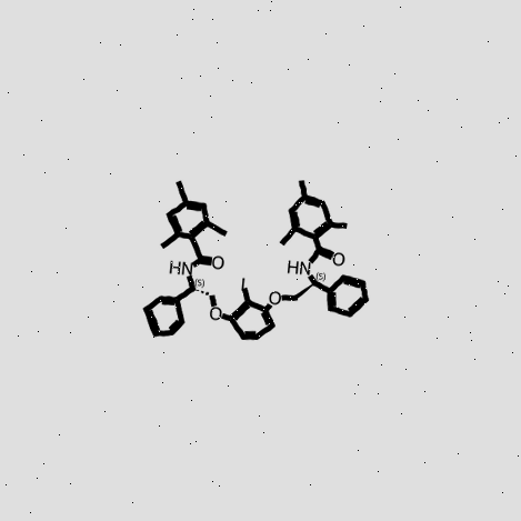 Cc1cc(C)c(C(=O)N[C@H](COc2cccc(OC[C@@H](NC(=O)c3c(C)cc(C)cc3C)c3ccccc3)c2I)c2ccccc2)c(C)c1